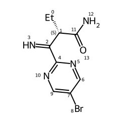 CC[C@@H](C(=N)c1ncc(Br)cn1)C(N)=O